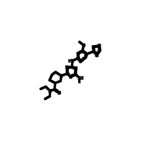 CCN(CC)C(=O)C1CCCN(c2nc(NC)nc(Nc3ccc(-c4cnco4)c(OC)c3)n2)C1